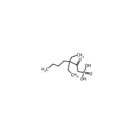 CCCCC(CC)(CC)C(=O)CP(=O)(O)O